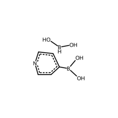 OB(O)c1ccncc1.OBO